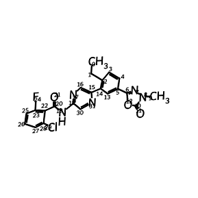 CCc1ccc(-c2nn(C)c(=O)o2)cc1-c1cnc(NC(=O)c2c(F)cccc2Cl)cn1